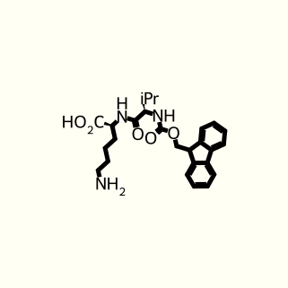 CC(C)[C@H](NC(=O)OCC1c2ccccc2-c2ccccc21)C(=O)N[C@@H](CCCCN)C(=O)O